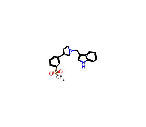 O=S(=O)(c1cccc(C2CCN(Cc3c[nH]c4ccccc34)C2)c1)C(F)(F)F